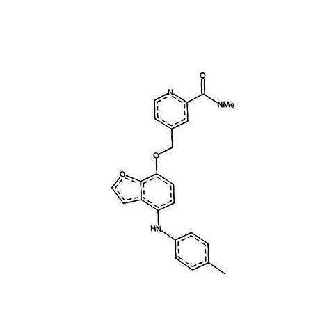 CNC(=O)c1cc(COc2ccc(Nc3ccc(C)cc3)c3ccoc23)ccn1